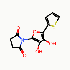 O=C1CCC(=O)N1c1oc(-c2cccs2)c(O)c1O